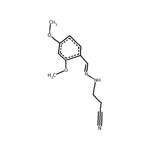 COc1ccc(/C=N/NCCC#N)c(OC)c1